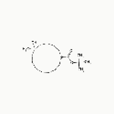 CC1(O)CCCCCCCN(C(=O)OC(C)(C)C)CCCC1